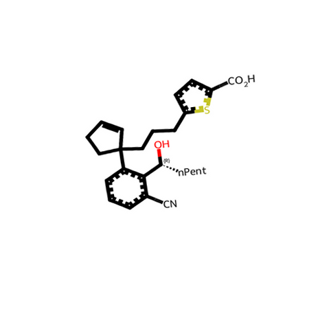 CCCCC[C@@H](O)c1c(C#N)cccc1C1(CCCc2ccc(C(=O)O)s2)C=CCC1